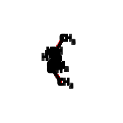 CCCCCCCCCCCCNC(=O)C(CO)NC(=O)C(N)CSCCS(=O)(=O)CC(N)C(=O)NC(CO)C(=O)NCCCCCCCCCCCC